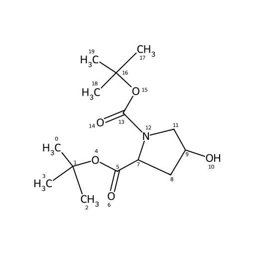 CC(C)(C)OC(=O)C1CC(O)CN1C(=O)OC(C)(C)C